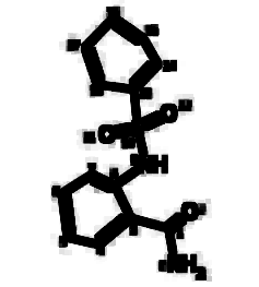 NC(=O)c1ccccc1NS(=O)(=O)c1ccccc1